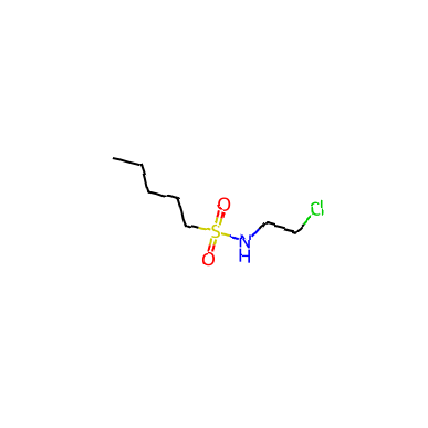 CCCCCS(=O)(=O)NCCCl